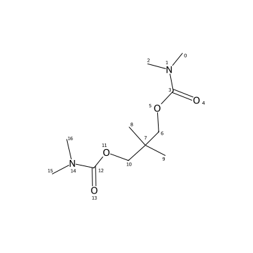 CN(C)C(=O)OCC(C)(C)COC(=O)N(C)C